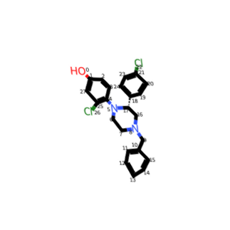 Oc1ccc(N2CCN(Cc3ccccc3)C[C@H]2c2ccc(Cl)cc2)c(Cl)c1